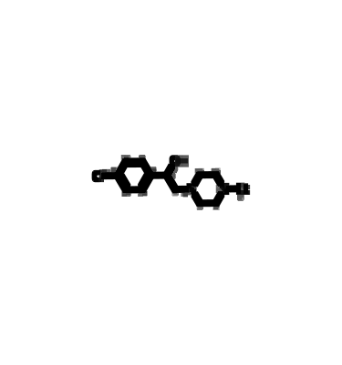 CCN1CCN(CC(O)c2ccc(Cl)cc2)CC1